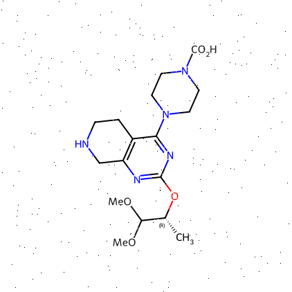 COC(OC)[C@@H](C)Oc1nc2c(c(N3CCN(C(=O)O)CC3)n1)CCNC2